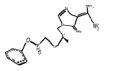 C[C@H](CN1C=NC(=C(N)N)C1=N)OC[PH](=O)Oc1ccccc1